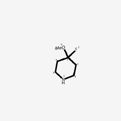 COC1(F)CCNCC1